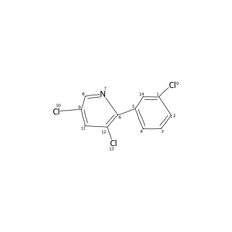 Clc1[c]ccc(-c2ncc(Cl)cc2Cl)c1